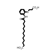 O=C(O)CCCCCCCCCCCC(=O)Nc1ccccc1SCCC(=O)O